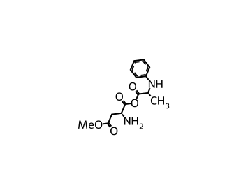 COC(=O)C[C@H](N)C(=O)OC(=O)[C@H](C)Nc1ccccc1